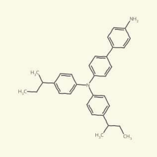 CCC(C)c1ccc(N(c2ccc(-c3ccc(N)cc3)cc2)c2ccc(C(C)CC)cc2)cc1